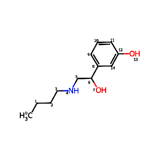 CCCCNCC(O)c1cccc(O)c1